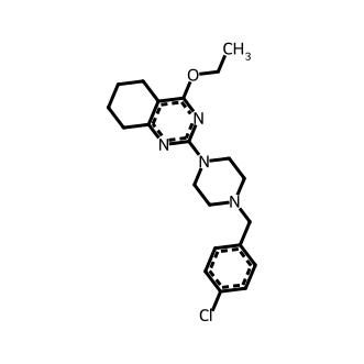 CCOc1nc(N2CCN(Cc3ccc(Cl)cc3)CC2)nc2c1CCCC2